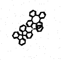 c1ccc(N(c2cccc3c2-c2ccccc2-c2ccccc2-c2ccccc2-3)c2cccc3c2-c2ccccc2C32c3ccccc3-c3ccccc32)cc1